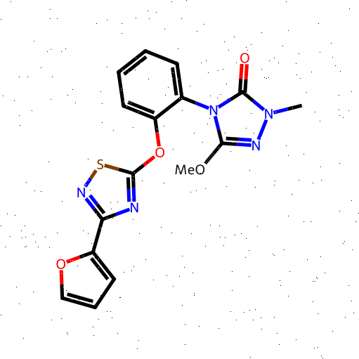 COc1nn(C)c(=O)n1-c1ccccc1Oc1nc(-c2ccco2)ns1